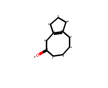 O=C1CCCCC2=C(CCC2)C1